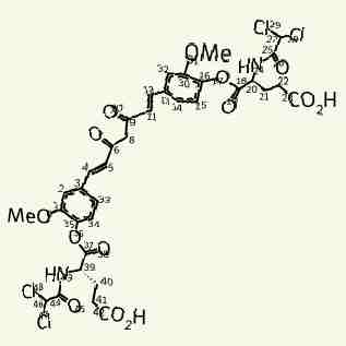 COc1cc(/C=C/C(=O)CC(=O)/C=C/c2ccc(OC(=O)[C@H](CCC(=O)O)NC(=O)C(Cl)Cl)c(OC)c2)ccc1OC(=O)[C@H](CCC(=O)O)NC(=O)C(Cl)Cl